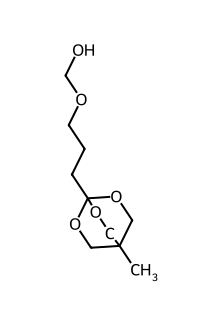 CC12COC(CCCOCO)(OC1)OC2